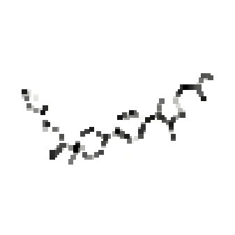 CC(=O)N(C)CC1CN(c2ccc(N3CC[N+](C)(C(=O)COC(=O)CN)CC3)c(F)c2)C(=O)O1